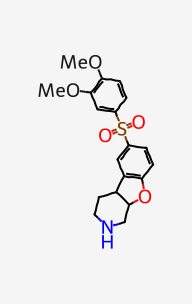 COc1ccc(S(=O)(=O)c2ccc3c(c2)C2CCNCC2O3)cc1OC